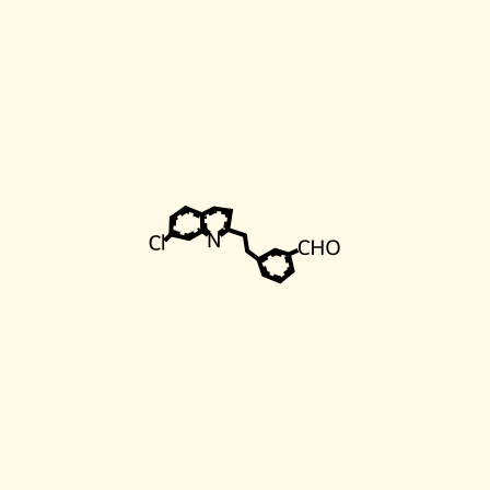 O=Cc1cccc(CCc2ccc3ccc(Cl)cc3n2)c1